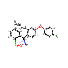 CCCc1cc(Oc2ccc(Cl)cc2)ccc1/C(=N/O)c1cc(OC)ccc1F